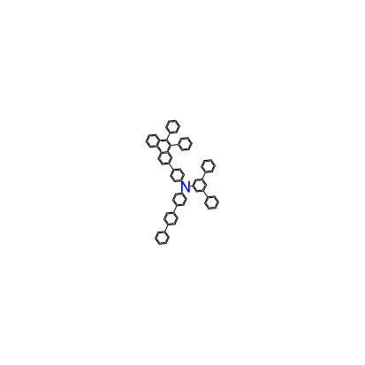 c1ccc(-c2ccc(-c3ccc(N(c4ccc(-c5ccc6c(c5)c(-c5ccccc5)c(-c5ccccc5)c5ccccc56)cc4)c4cc(-c5ccccc5)cc(-c5ccccc5)c4)cc3)cc2)cc1